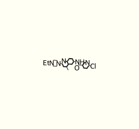 CCN1CCN(c2cc(C)c3cc(NC(=O)c4ccc(Cl)nc4)ccc3n2)CC1